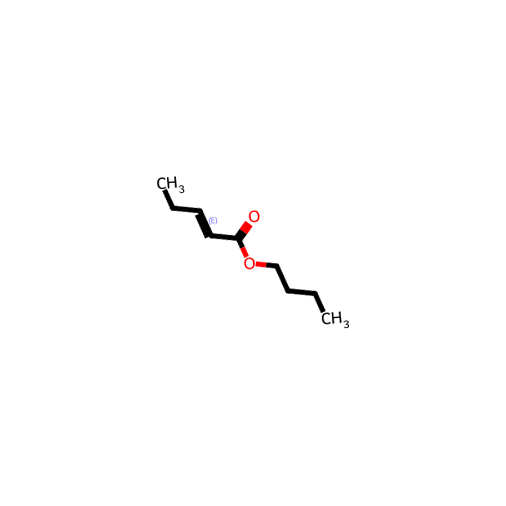 CC/C=C/C(=O)OCCCC